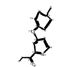 CCC(=O)c1cc(Oc2ccc(C)cc2)ccn1